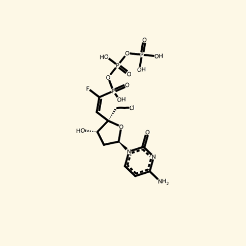 Nc1ccn([C@H]2C[C@H](O)[C@](/C=C(/F)P(=O)(O)OP(=O)(O)OP(=O)(O)O)(CCl)O2)c(=O)n1